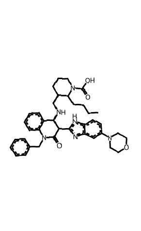 CCCCC1C(CNC2c3ccccc3N(Cc3ccccc3)C(=O)C2c2nc3cc(N4CCOCC4)ccc3[nH]2)CCCN1C(=O)O